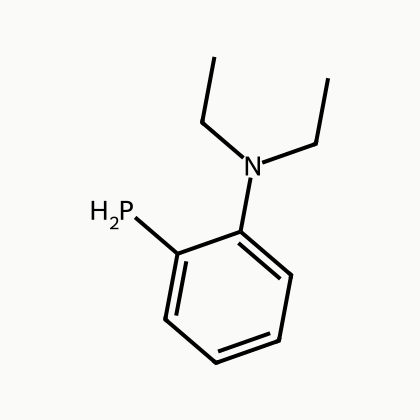 CCN(CC)c1ccccc1P